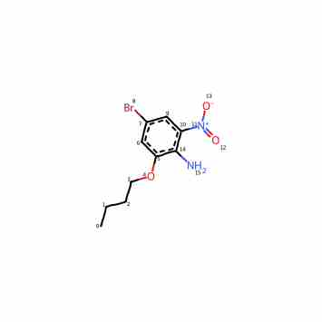 CCCCOc1cc(Br)cc([N+](=O)[O-])c1N